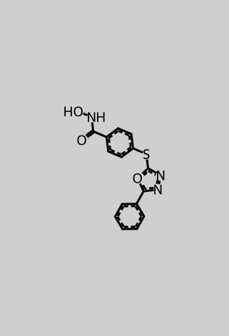 O=C(NO)c1ccc(Sc2nnc(-c3ccccc3)o2)cc1